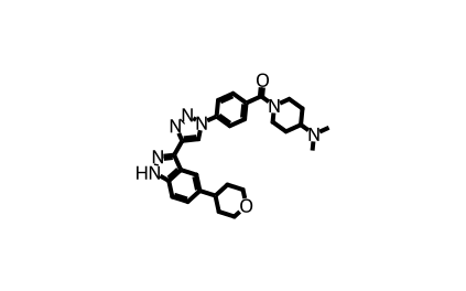 CN(C)C1CCN(C(=O)c2ccc(-n3cc(-c4n[nH]c5ccc(C6CCOCC6)cc45)nn3)cc2)CC1